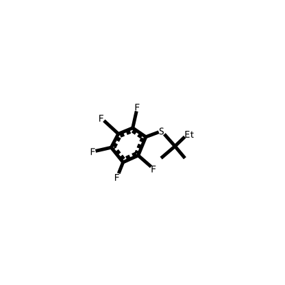 CCC(C)(C)Sc1c(F)c(F)c(F)c(F)c1F